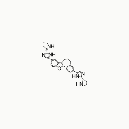 c1cc2c(cc1-c1cnc(C3CCCN3)[nH]1)CCCc1c-2oc2ccc(-c3cnc([C@@H]4CCCN4)[nH]3)cc12